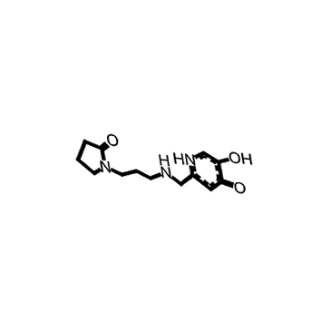 O=C1CCCN1CCCNCc1cc(=O)c(O)c[nH]1